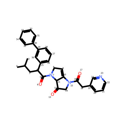 CC(C)CC(C(=O)N1CC=C2C1C(=O)CN2C(=O)Cc1cccnc1)c1cccc(-c2ccccc2)c1